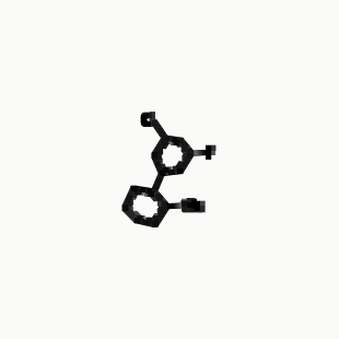 CC(C)(C)c1ccccc1-c1cc(F)cc(Cl)c1